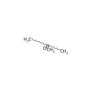 CCCCCCCCCCN(CCCCCCCC)C(C)=O